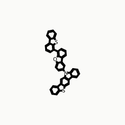 c1ccc2c(c1)sc1cc3c4ccccc4n(-c4ccc5oc6c(-c7cccc8c7sc7ccccc78)cccc6c5c4)c3cc12